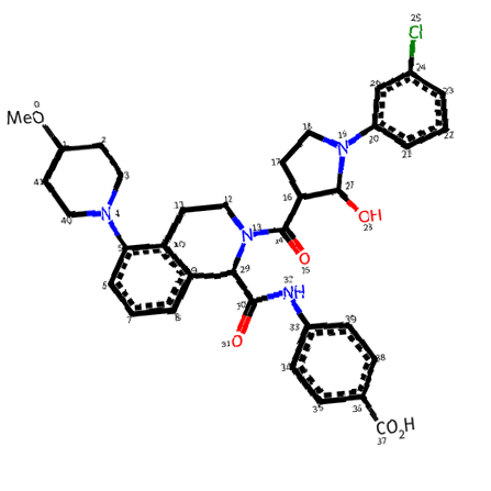 COC1CCN(c2cccc3c2CCN(C(=O)C2CCN(c4cccc(Cl)c4)C2O)C3C(=O)Nc2ccc(C(=O)O)cc2)CC1